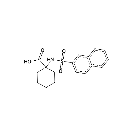 O=C(O)C1(NS(=O)(=O)c2ccc3ccccc3c2)CCCCC1